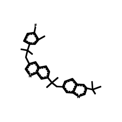 Cc1cc(C(C)(C)Cc2cnc3cc(C(C)(C)Cc4ccc5cc(C(C)(C)C)cnc5c4)ccc3c2)ccc1F